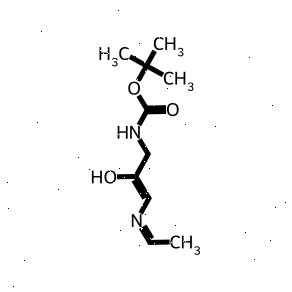 C/C=N\C=C(/O)CNC(=O)OC(C)(C)C